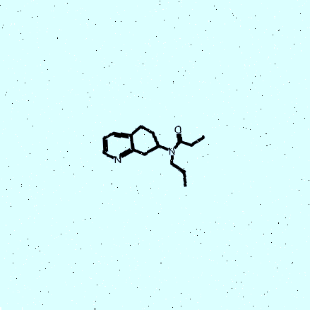 CCCN(C(=O)CC)C1CCc2cccnc2C1